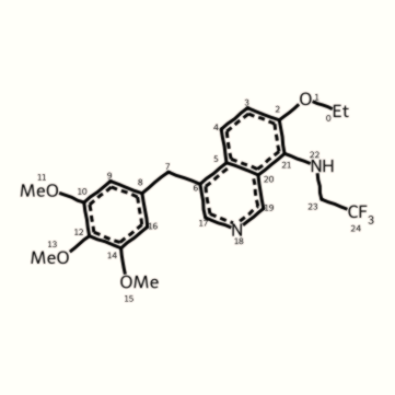 CCOc1ccc2c(Cc3cc(OC)c(OC)c(OC)c3)cncc2c1NCC(F)(F)F